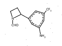 Nc1cc(C2CCN2C=O)cc(C(F)(F)F)c1